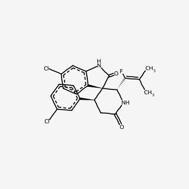 CC(C)=C(F)[C@@H]1NC(=O)C[C@@H](c2cccc(Cl)c2)[C@]12C(=O)Nc1cc(Cl)ccc12